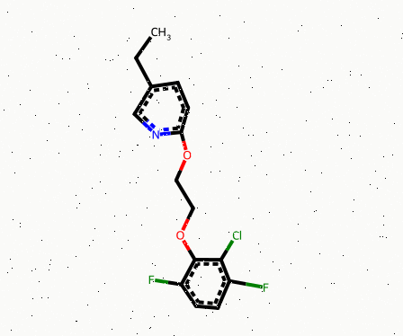 CCc1ccc(OCCOc2c(F)ccc(F)c2Cl)nc1